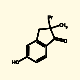 CC(C)C1(C)Cc2cc(O)ccc2C1=O